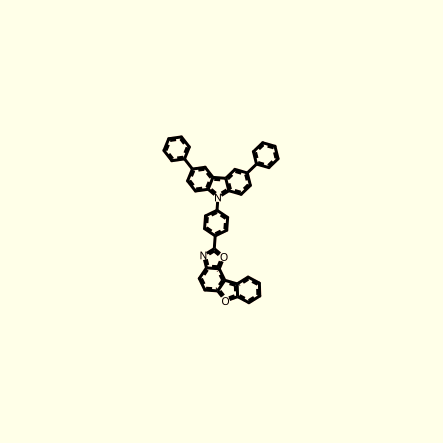 c1ccc(-c2ccc3c(c2)c2cc(-c4ccccc4)ccc2n3-c2ccc(-c3nc4ccc5oc6ccccc6c5c4o3)cc2)cc1